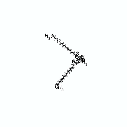 CCCCCCCCC=CCCCCCCCC(=O)OCC(C)(COC(=O)CCCCCCCC=CCCCCCCCC)C(=O)Cl